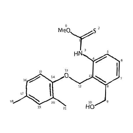 COC(=S)Nc1cccc(CO)c1COc1ccc(C)cc1C